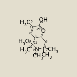 CC(=CC1CCC(C)(C)N(C)C1(C)C)C(=O)O